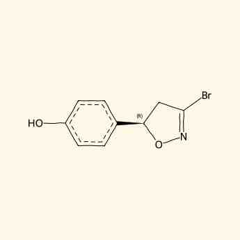 Oc1ccc([C@H]2CC(Br)=NO2)cc1